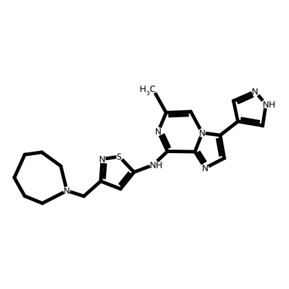 Cc1cn2c(-c3cn[nH]c3)cnc2c(Nc2cc(CN3CCCCCC3)ns2)n1